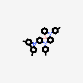 Cc1ccc(N2c3ccccc3B3c4ccc(-n5c6ccc(C)cc6c6cc(C)ccc65)cc4N(c4ccc(C)cc4)c4cccc2c43)cc1